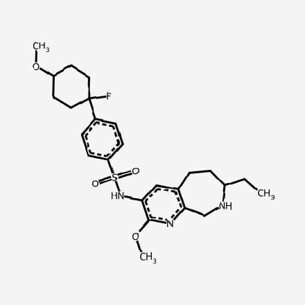 CCC1CCc2cc(NS(=O)(=O)c3ccc(C4(F)CCC(OC)CC4)cc3)c(OC)nc2CN1